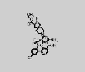 CCOC(=O)C1CC2(CCN(c3cc(O[C@H](c4ccc(Cl)cc4-c4cccc(CO)c4)C(F)(F)F)nc(N)n3)CC2)CN1